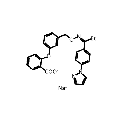 CCC(=NOCc1cccc(Oc2ccccc2C(=O)[O-])c1)c1ccc(-n2cccn2)cc1.[Na+]